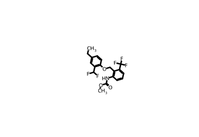 CCc1ccc(OCc2c(NC(=O)OC)cccc2C(F)(F)F)c(C(F)F)c1